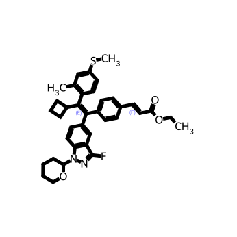 CCOC(=O)/C=C/c1ccc(/C(=C(\c2ccc(SC)cc2C)C2CCC2)c2ccc3c(c2)c(F)nn3C2CCCCO2)cc1